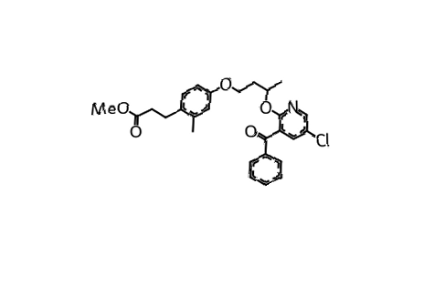 COC(=O)CCc1ccc(OCCC(C)Oc2ncc(Cl)cc2C(=O)c2ccccc2)cc1C